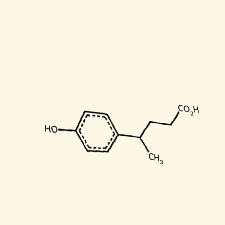 CC(CCC(=O)O)c1ccc(O)cc1